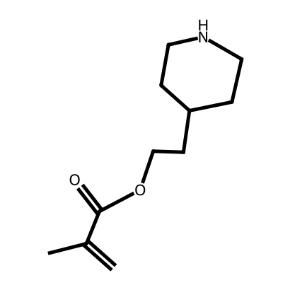 C=C(C)C(=O)OCCC1CCNCC1